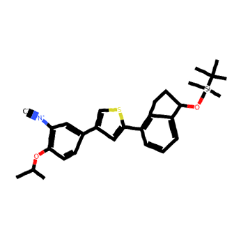 [C-]#[N+]c1cc(-c2csc(-c3cccc4c3CCC4O[Si](C)(C)C(C)(C)C)c2)ccc1OC(C)C